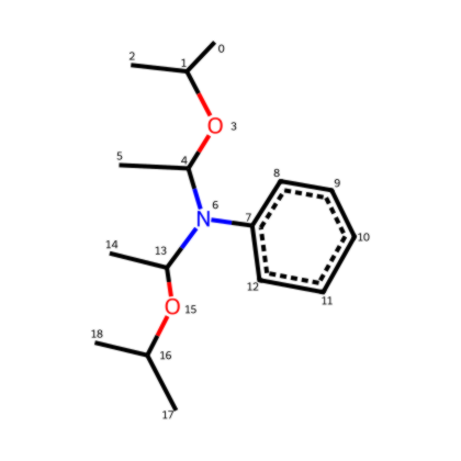 CC(C)OC(C)N(c1ccccc1)C(C)OC(C)C